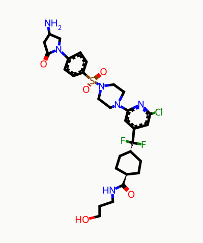 NC1CC(=O)N(c2ccc(S(=O)(=O)N3CCN(c4cc(C(F)(F)[C@H]5CC[C@H](C(=O)NCCCO)CC5)cc(Cl)n4)CC3)cc2)C1